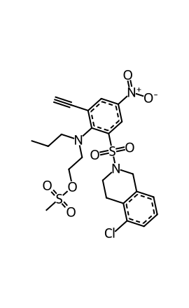 C#Cc1cc([N+](=O)[O-])cc(S(=O)(=O)N2CCc3c(Cl)cccc3C2)c1N(CCC)CCOS(C)(=O)=O